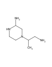 CC(CN)N1CCNC(N)C1